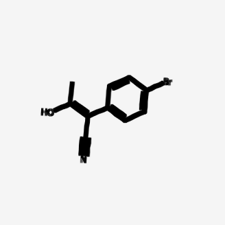 C/C(O)=C(/C#N)c1ccc(Br)cc1